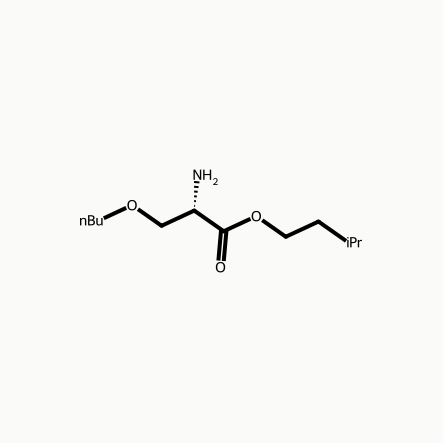 CCCCOC[C@H](N)C(=O)OCCC(C)C